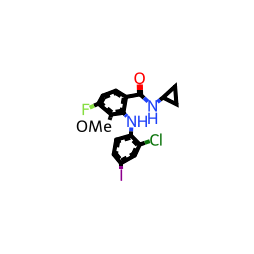 COc1c(F)ccc(C(=O)NC2CC2)c1Nc1ccc(I)cc1Cl